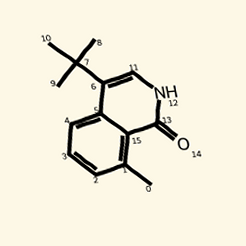 Cc1cccc2c(C(C)(C)C)c[nH]c(=O)c12